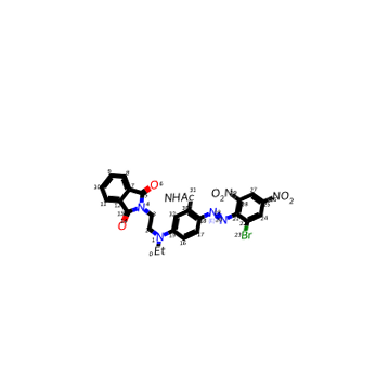 CCN(CCN1C(=O)c2ccccc2C1=O)c1ccc(/N=N/c2c(Br)cc([N+](=O)[O-])cc2[N+](=O)[O-])c(NC(C)=O)c1